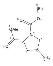 COC(=O)[C@H]1CC(N)CN1C(=O)OC(C)(C)C